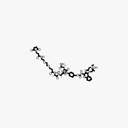 CCOCc1nc2c(NC(=O)OCc3ccc(NC(=O)[C@H](CC(N)=O)NC(=O)[C@H](C)NC(=O)[C@H](C)NC(=O)CCOCCOCCNC(=O)CCN4C(=O)C=CC4=O)cc3)nc3ccccc3c2n1CC(C)(C)O